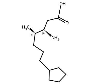 C[C@H](CCCC1CCCC1)[C@H](N)CC(=O)O